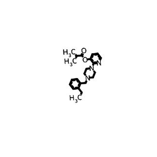 CCc1ccccc1CN1CCN(c2ncccc2OC(=O)C(C)C)CC1